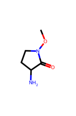 CON1CCC(N)C1=O